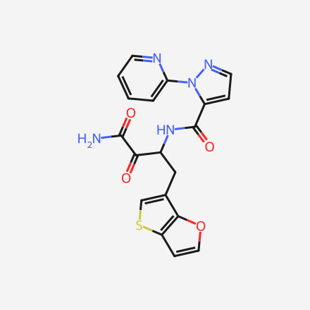 NC(=O)C(=O)C(Cc1csc2ccoc12)NC(=O)c1ccnn1-c1ccccn1